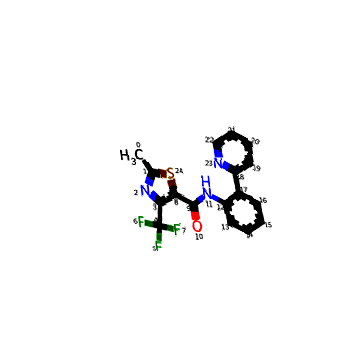 Cc1nc(C(F)(F)F)c(C(=O)Nc2ccccc2-c2ccccn2)s1